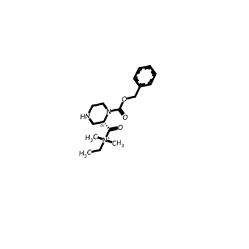 CC[N+](C)(C)C(=O)[C@@H]1CNCCN1C(=O)OCc1ccccc1